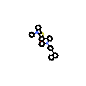 c1ccc(N(c2ccc(-c3cccc4ccccc34)cc2)c2ccccc2-c2cccc3c2sc2c4ccccc4n(-c4ccccc4)c32)cc1